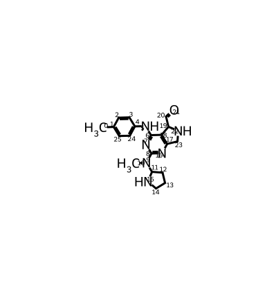 Cc1ccc(Nc2nc(N(C)C3CCCN3)nc3c2C(C=O)NC3)cc1